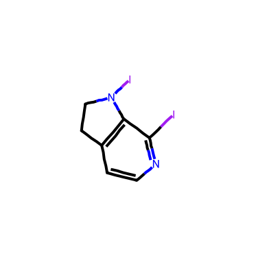 Ic1nccc2c1N(I)CC2